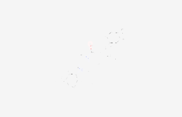 Cc1ccc(C(F)(F)F)cc1N1CCN(C(=O)C2[C@@H](c3ccc(C(F)(F)F)cc3)C2(F)F)CC1